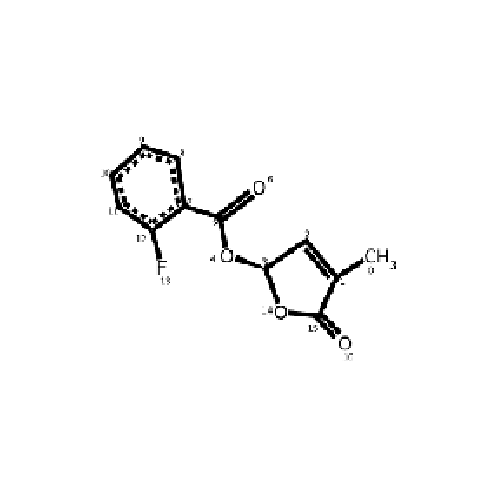 CC1=C[C@H](OC(=O)c2ccccc2F)OC1=O